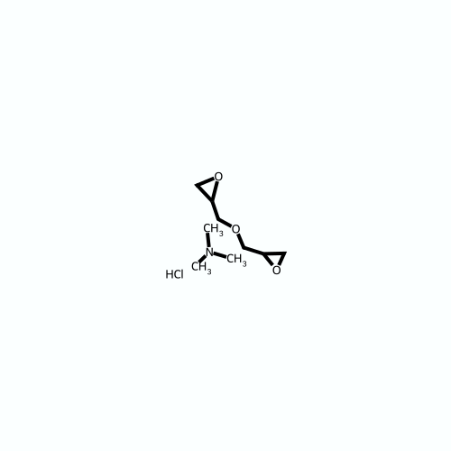 C(OCC1CO1)C1CO1.CN(C)C.Cl